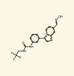 O=C(NCC(F)(F)F)Nc1cccc(-c2cnc3cc(/C=N/O)ccn23)c1